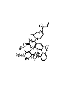 C=CC(=O)N1CCN(c2nc(=O)n(/C(C(=N)C(C)C)=C(/NC)C(C)C)c3nc(-c4c(N)cccc4F)c(Cl)cc23)C(C)C1